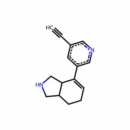 C#Cc1cncc(C2=CCCC3CNCC23)c1